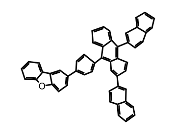 c1ccc2cc(-c3ccc4c(-c5ccc6ccccc6c5)c5ccccc5c(-c5ccc(-c6ccc7oc8ccccc8c7c6)cc5)c4c3)ccc2c1